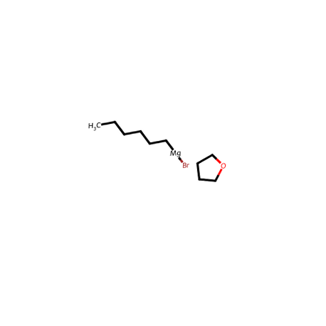 C1CCOC1.CCCCC[CH2][Mg][Br]